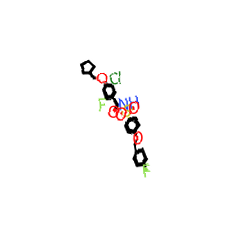 O=C(NS(=O)(=O)c1ccc(OCc2ccc(F)cc2)cc1)c1cc(Cl)c(OCC2CCCC2)cc1F